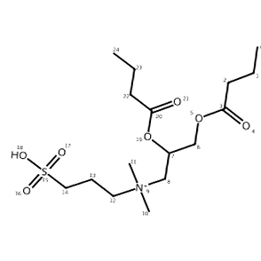 CCCC(=O)OCC(C[N+](C)(C)CCCS(=O)(=O)O)OC(=O)CCC